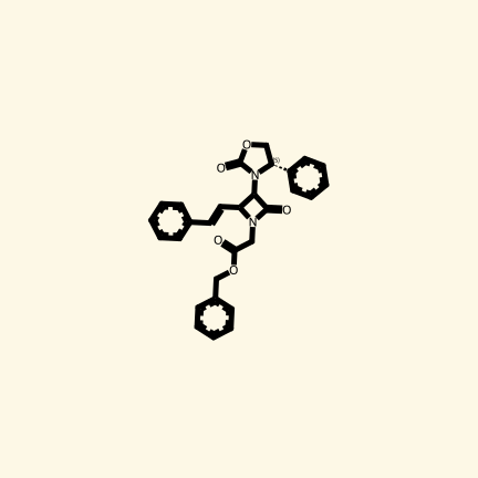 O=C(CN1C(=O)C(N2C(=O)OC[C@@H]2c2ccccc2)C1C=Cc1ccccc1)OCc1ccccc1